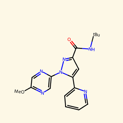 COc1cnc(-n2nc(C(=O)NC(C)(C)C)cc2-c2ccccn2)cn1